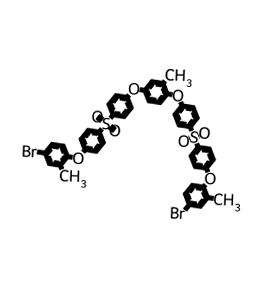 Cc1cc(Br)ccc1Oc1ccc(S(=O)(=O)c2ccc(Oc3ccc(Oc4ccc(S(=O)(=O)c5ccc(Oc6ccc(Br)cc6C)cc5)cc4)c(C)c3)cc2)cc1